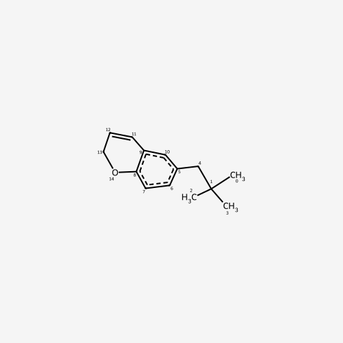 CC(C)(C)Cc1ccc2c(c1)C=CCO2